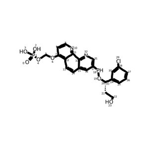 O=P(O)(O)OCOc1ccnc2c1ccc1cc(PO[C@@H](CCO)c3cccc(Cl)c3)cnc12